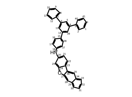 c1ccc(-c2cc(-c3ccccc3)cc(-c3ccc(Nc4ccc5c(c4)oc4cc6ccccc6cc45)cc3)c2)cc1